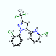 FC(F)(F)C(F)(F)C1=NN(c2ccccc2Cl)C(c2cccc(Br)n2)C1